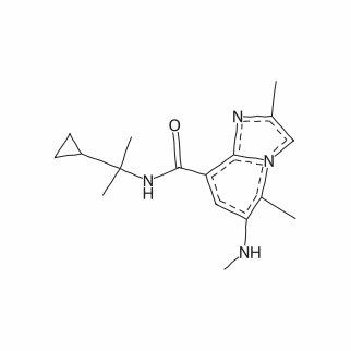 CNc1cc(C(=O)NC(C)(C)C2CC2)c2nc(C)cn2c1C